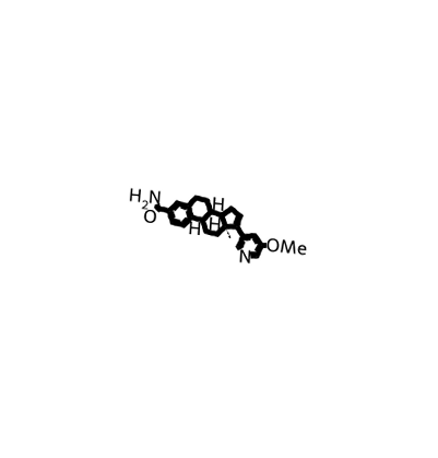 COc1cncc(C2=CC[C@H]3[C@@H]4CCc5cc(C(N)=O)ccc5[C@H]4CC[C@]23C)c1